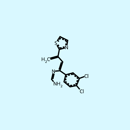 C=C(/C=C(\N=C/N)c1ccc(Cl)c(Cl)c1)c1nccs1